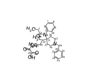 CCC(=O)N(c1ccccc1)C1(C(C)CC)CCN(Cc2ccccc2)CC1.O=C(O)C(=O)O